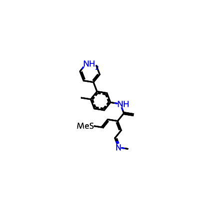 C=C(Nc1ccc(C)c(C(/C=C\N)=C/C)c1)C(/C=C/SC)=C/C=N\C